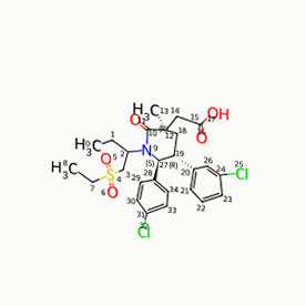 CCC(CS(=O)(=O)CC)N1C(=O)[C@@](C)(CC(=O)O)C[C@H](c2cccc(Cl)c2)[C@H]1c1ccc(Cl)cc1